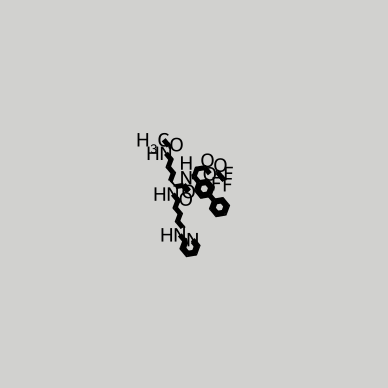 CC(=O)NCCCC[C@H](NC(=O)CCCCNc1ccccn1)C(=O)NC(CC(=O)OC(=O)C(F)(F)F)c1ccc(-c2ccccc2)cc1